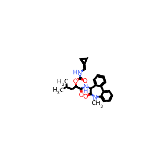 CC(C)CC(OC(=O)NCC1CC1)C(=O)NC1C(=O)N(C)c2ccccc2-c2ccccc21